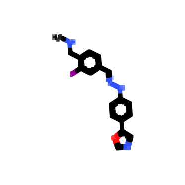 CNCc1ccc(/C=N/Nc2ccc(-c3cnco3)cc2)cc1I